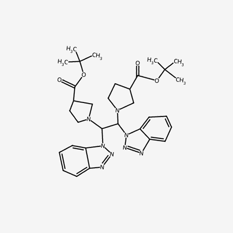 CC(C)(C)OC(=O)C1CCN(C(C(N2CCC(C(=O)OC(C)(C)C)C2)n2nnc3ccccc32)n2nnc3ccccc32)C1